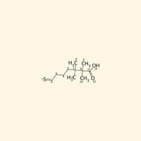 CC(C)(CCCC=S)C(C)(C)C(=O)O